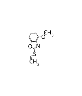 C=CSc1nc2c(OC)cccc2o1